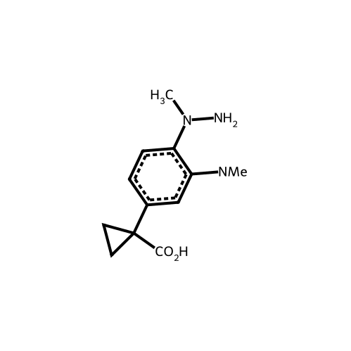 CNc1cc(C2(C(=O)O)CC2)ccc1N(C)N